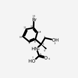 C[C@@](CO)(NC(=O)O)c1cccc(Br)c1